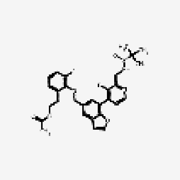 CC(=O)OCCc1cccc(F)c1OCc1cc(-c2ccnc(CN[S@@+]([O-])C(C)(C)C)c2F)c2occc2c1